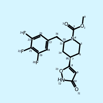 COC(=O)N1CC[C@@H](c2cc(=O)[nH]o2)C[C@H]1Cc1cc(F)c(F)c(F)c1